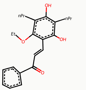 CCCc1c(O)c(/C=C/C(=O)c2ccccc2)c(OCC)c(CCC)c1O